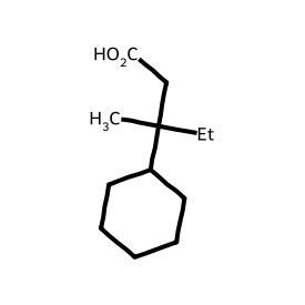 CCC(C)(CC(=O)O)C1CCCCC1